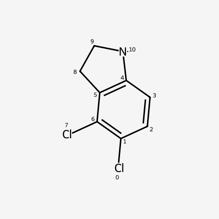 Clc1ccc2c(c1Cl)CC[N]2